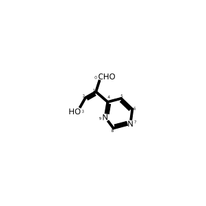 O=C/C(=C/O)c1ccncn1